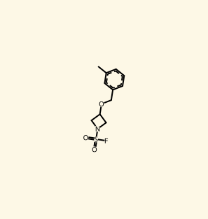 Cc1cccc(COC2CN(S(=O)(=O)F)C2)c1